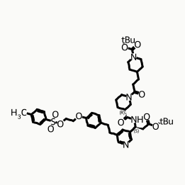 Cc1ccc(S(=O)(=O)OCCOc2ccc(CCc3cncc([C@H](CC(=O)OC(C)(C)C)NC(=O)[C@@H]4CCCN(C(=O)CCC5CCN(C(=O)OC(C)(C)C)CC5)C4)c3)cc2)cc1